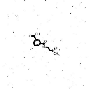 CN(C)CCNC(=O)c1cccc(C(=O)O)c1